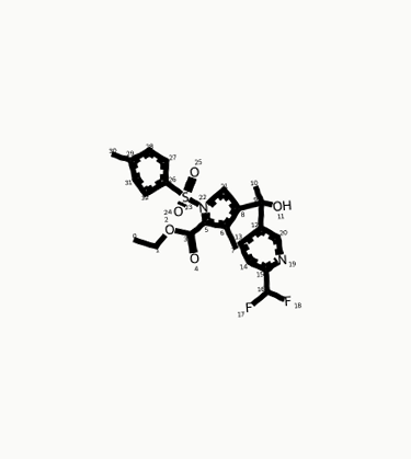 CCOC(=O)c1c(C)c(C(C)(O)c2ccc(C(F)F)nc2)cn1S(=O)(=O)c1ccc(C)cc1